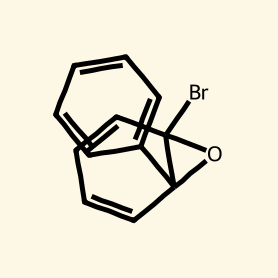 BrC12C=CC=CC1(c1ccccc1)O2